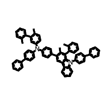 Cc1ccccc1-c1cc(N(c2ccc(-c3ccccc3)cc2)c2ccc(-c3cc4c5ccccc5n(-c5ccc(-c6ccccc6)cc5)c4c(-c4ccccc4C)c3C)cc2)ccc1C